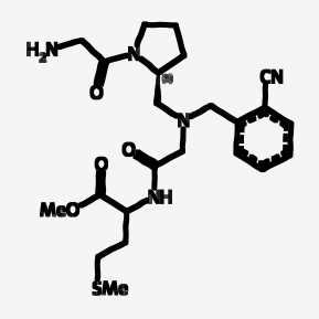 COC(=O)C(CCSC)NC(=O)CN(Cc1ccccc1C#N)C[C@@H]1CCCN1C(=O)CN